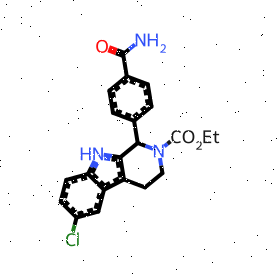 CCOC(=O)N1CCc2c([nH]c3ccc(Cl)cc23)C1c1ccc(C(N)=O)cc1